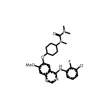 COc1cc2ncnc(Nc3cccc(Cl)c3F)c2cc1OC1CCC(N(C)C(=O)N(C)C)CC1